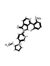 COc1cccc(F)c1-c1nccc2c1CN(c1ccc(N3CCC[C@@H]3CN)cn1)C2=O